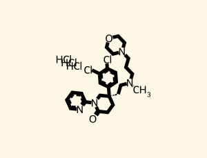 CN(CCCN1CCOCC1)CC[C@]1(c2ccc(Cl)c(Cl)c2)CCC(=O)N(c2ccccn2)C1.Cl.Cl.Cl